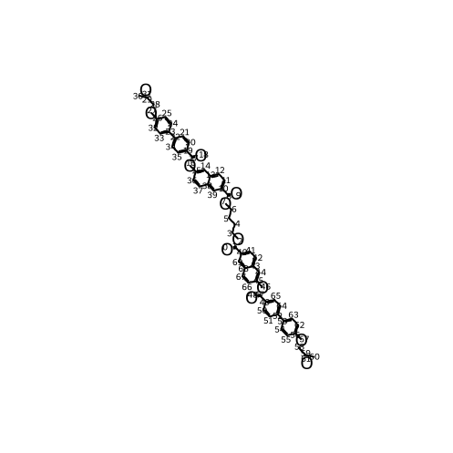 O=C(OCCCCOC(=O)c1ccc2cc(OC(=O)c3ccc(-c4ccc(OCC5CO5)cc4)cc3)ccc2c1)c1ccc2cc(OC(=O)c3ccc(-c4ccc(OCC5CO5)cc4)cc3)ccc2c1